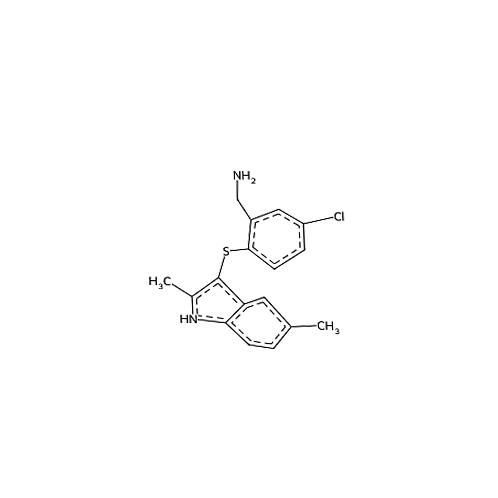 Cc1ccc2[nH]c(C)c(Sc3ccc(Cl)cc3CN)c2c1